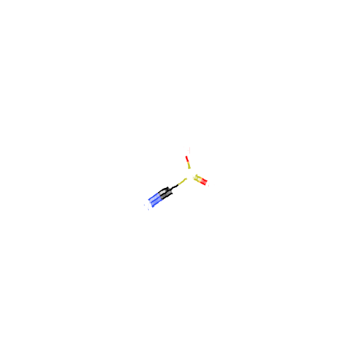 N#CS(=O)O